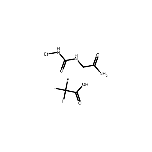 CCNC(=O)NCC(N)=O.O=C(O)C(F)(F)F